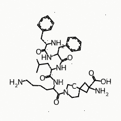 CC(C)CC(NC(=O)C(Cc1ccccc1)NC(=O)C(N)Cc1ccccc1)C(=O)NC(CCCCN)C(=O)N1CCC2(CC1)CC(N)(C(=O)O)C2